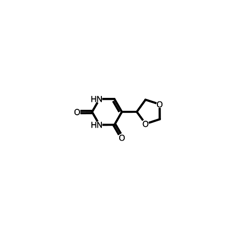 O=c1[nH]cc(C2COCO2)c(=O)[nH]1